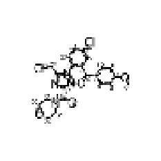 COc1ccc(C(=O)c2cc(Cl)ccc2-n2nc(C(=O)N3CCOCC3)nc2CCl)cc1